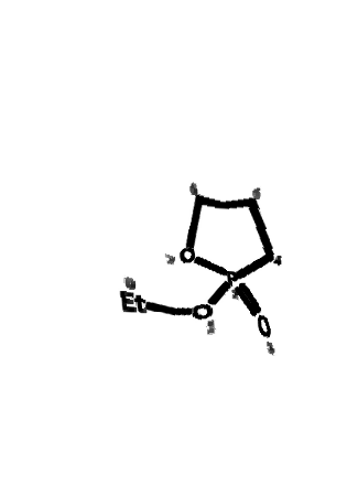 CCOP1(=O)CCCO1